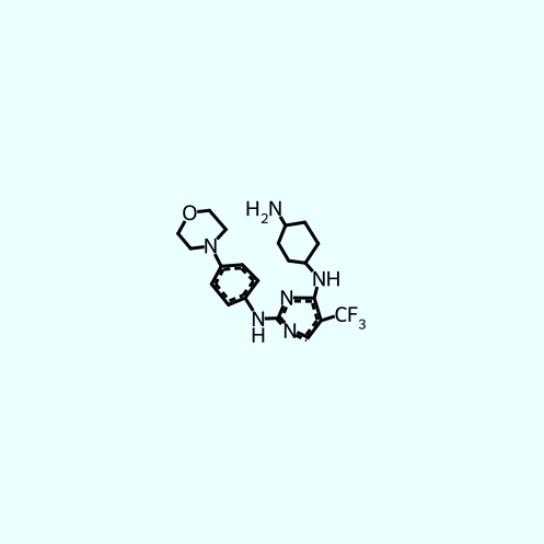 NC1CCC(Nc2nc(Nc3ccc(N4CCOCC4)cc3)ncc2C(F)(F)F)CC1